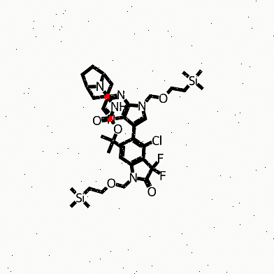 CC(C)(C)OC(=O)NC1CC2CCC(C1)N2c1cnc2c(-c3ccc4c(c3Cl)C(F)(F)C(=O)N4COCC[Si](C)(C)C)cn(COCC[Si](C)(C)C)c2n1